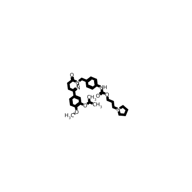 COc1ccc(C2=NN(Cc3ccc(NC(=O)OCCCN4CCCC4)cc3)C(=O)CC2)cc1OC(C)C